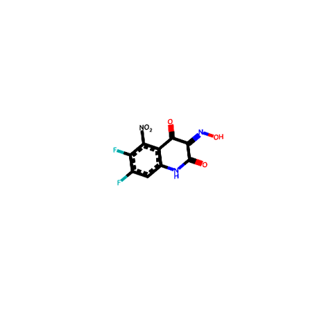 O=C1Nc2cc(F)c(F)c([N+](=O)[O-])c2C(=O)/C1=N/O